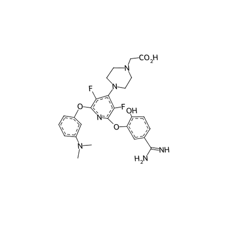 CN(C)c1cccc(Oc2nc(Oc3cc(C(=N)N)ccc3O)c(F)c(N3CCN(CC(=O)O)CC3)c2F)c1